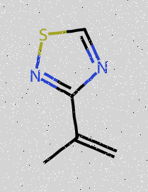 C=C(C)c1ncsn1